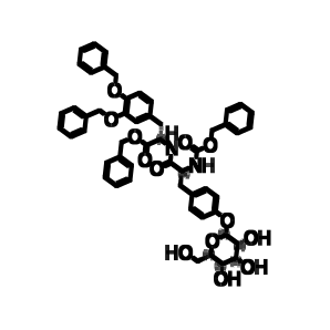 O=C(N[C@@H](Cc1ccc(O[C@@H]2O[C@H](CO)[C@@H](O)[C@H](O)[C@H]2O)cc1)C(=O)N[C@@H](Cc1ccc(OCc2ccccc2)c(OCc2ccccc2)c1)C(=O)OCc1ccccc1)OCc1ccccc1